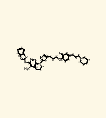 Cc1c(Nc2nc3ccccc3s2)nnc2c1CCCN2c1ncc(CCCOc2ccc(CCCN3CCCCC3)cc2F)s1